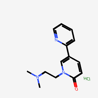 CN(C)CCn1cc(-c2ccccn2)ccc1=O.Cl